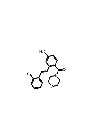 Cc1ccc(C(=O)N2CCOCC2)c(/C=C/c2ccccc2Cl)n1